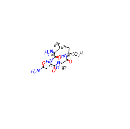 CC(C)C[C@H](NC(=O)[C@@H](NC(=O)[C@H](CC(N)=O)NC(=O)[C@@H](N)CC(C)C)C(C)C)C(=O)O